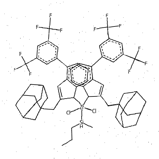 CCC[SiH](C)[Zr]([Cl])([Cl])([CH]1C(CC23CC4CC(CC(C4)C2)C3)=Cc2c(-c3cc(C(F)(F)F)cc(C(F)(F)F)c3)cccc21)[CH]1C(CC23CC4CC(CC(C4)C2)C3)=Cc2c(-c3cc(C(F)(F)F)cc(C(F)(F)F)c3)cccc21